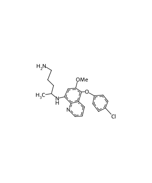 COc1cc(NC(C)CCCN)c2ncccc2c1Oc1ccc(Cl)cc1